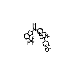 CN(Cc1ccc(NC2Cc3cccc(C(F)(F)F)c3C2)cn1)C(=O)C1CC[S+]([O-])CC1